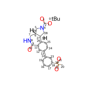 CC(C)(C)OC(=O)N1C[C@H]2CNC(=O)c3cc(-c4cccc(S(C)(=O)=O)c4)ccc3[C@@H]2C1